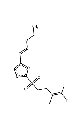 CCON=Cc1cnc(S(=O)(=O)CCC(F)=C(F)F)o1